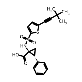 CC(C)(C)C#Cc1ccc(S(=O)(=O)N[C@@]2(C(=O)O)C[C@@H]2c2ccccc2)s1